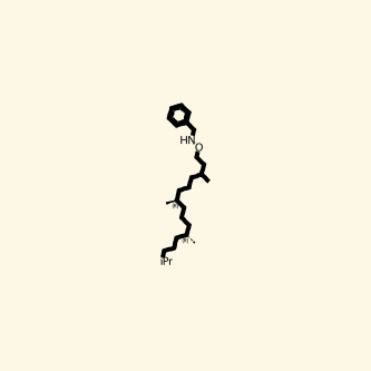 CC(C)CCC[C@@H](C)CCC[C@@H](C)CCCC(C)CCONCc1ccccc1